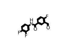 O=Cc1cc(C(=O)Nc2ccc(F)c(F)c2)ccc1F